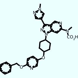 CN(C(=O)O)c1cc2c(cn1)c(-c1cnn(C)c1)nn2C1CCC(Oc2ccc(OCc3ccccc3)nc2)CC1